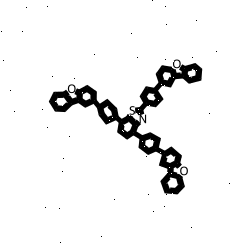 c1ccc2c(c1)oc1ccc(-c3ccc(-c4nc5c(-c6ccc(-c7ccc8oc9ccccc9c8c7)cc6)ccc(-c6ccc(-c7ccc8oc9ccccc9c8c7)cc6)c5s4)cc3)cc12